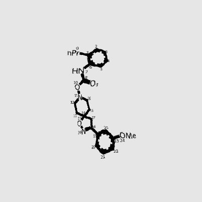 CCCc1ccccc1NC(=O)ON1CCC2(CC1)CC(c1cccc(OC)c1)=NO2